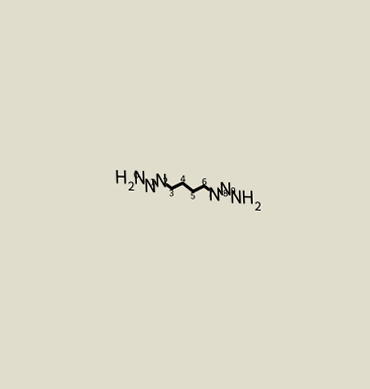 NN=NCCCCN=NN